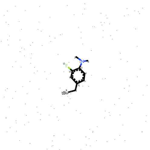 CN(C)c1ccc(CC(C)(C)C)cc1F